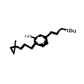 CC(C)(C)CCCc1ccc(CCCC2(C)CC2)c(O)c1